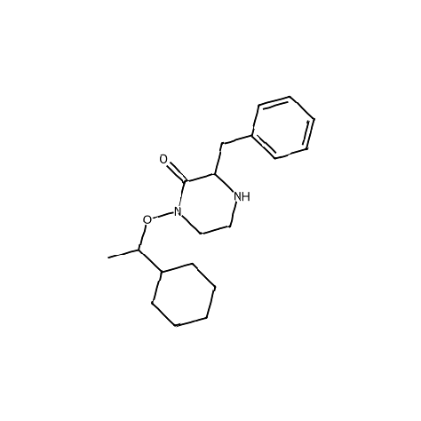 CC(ON1CCNC(Cc2ccccc2)C1=O)C1CCCCC1